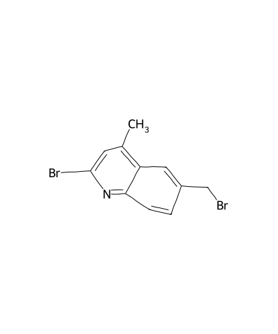 Cc1cc(Br)nc2ccc(CBr)cc12